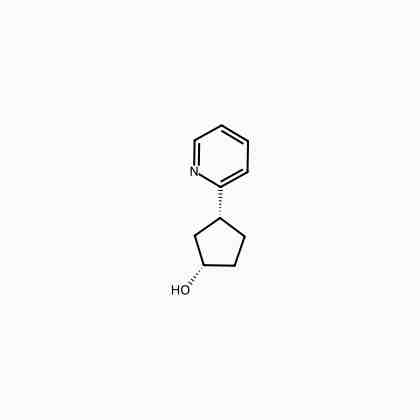 O[C@H]1CC[C@@H](c2ccccn2)C1